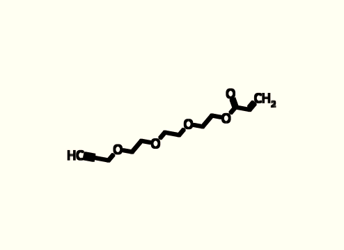 C#CCOCCOCCOCCOC(=O)C=C